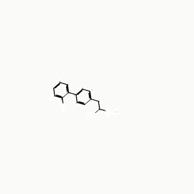 O=C(O)C(S)Cc1ccc(-c2ccccc2F)cc1